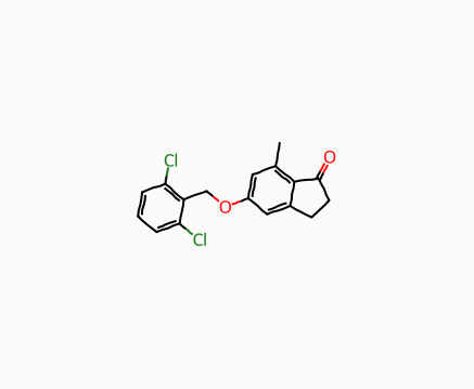 Cc1cc(OCc2c(Cl)cccc2Cl)cc2c1C(=O)CC2